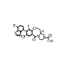 O=C(O)N1CCN2C(=O)c3cc(Cl)c(-c4ccc(F)c5scnc45)c(F)c3OCC[C@H]2C1